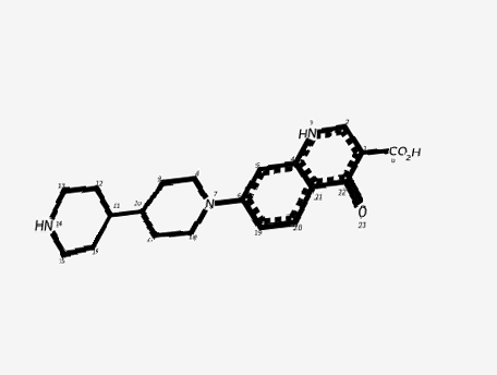 O=C(O)c1c[nH]c2cc(N3CCC(C4CCNCC4)CC3)ccc2c1=O